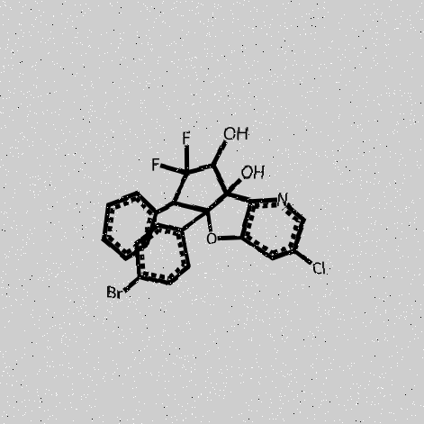 OC1C(F)(F)C(c2ccccc2)C2(c3ccc(Br)cc3)Oc3cc(Cl)cnc3C12O